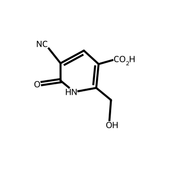 N#Cc1cc(C(=O)O)c(CO)[nH]c1=O